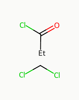 CCC(=O)Cl.ClCCl